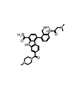 CN(C)CC(=O)Nc1cccc(-c2ccc(C(N)=O)c3[nH]c4cc(C(=O)N5CCN(C)CC5)ccc4c23)c1CN